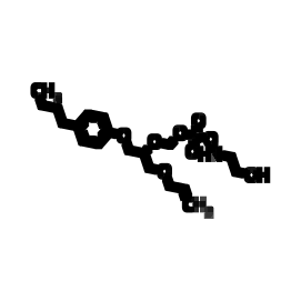 C=CCOCC(COc1ccc(CCCC)cc1)OCOS(=O)(=O)ONCCO